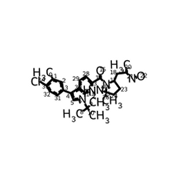 Cc1cc(-c2cn(C(C)(C)C)c3nc(C(=O)N4C(CC(C)N=O)CC[C@]4(C)N)ccc23)ccc1Cl